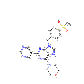 CS(=O)(=O)c1ccc(Cn2cnc3c(N4CCOCC4)nc(-c4cncnc4)nc32)cc1